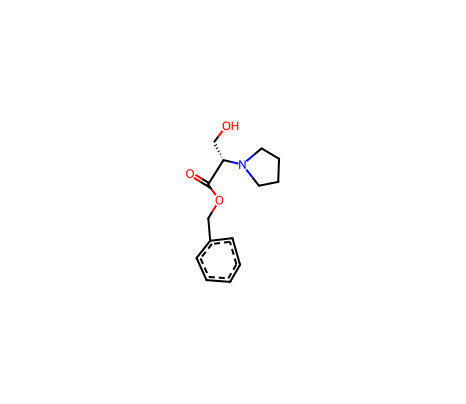 O=C(OCc1ccccc1)[C@H](CO)N1CCCC1